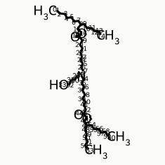 CCCCCCCCC(CCCCCC)COC(=O)CCCCCCCCCN(CCCCO)CCCCCCCCCC(=O)OCC(CCCCCC)CCCCCCC